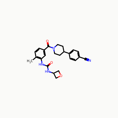 Cc1ccc(C(=O)N2CCC(c3ccc(C#N)cc3)CC2)cc1NC(=O)NC1COC1